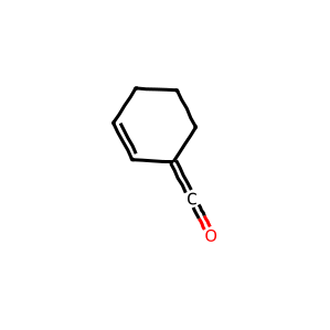 O=C=C1C=CCCC1